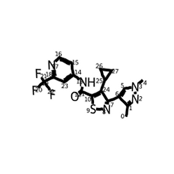 Cc1nn(C)cc1-c1nsc(C(=O)Nc2ccnc(C(F)(F)F)c2)c1C1CC1